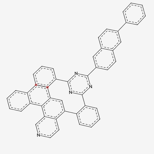 c1ccc(-c2ccc3cc(-c4nc(-c5ccccc5)nc(-c5ccccc5-c5cc6ccc7ccccc7c6c6cnccc56)n4)ccc3c2)cc1